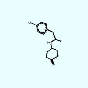 CC(Cc1ccc(Cl)cc1)NC1CCC(=O)CC1